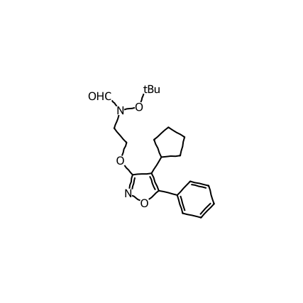 CC(C)(C)ON(C=O)CCOc1noc(-c2ccccc2)c1C1CCCC1